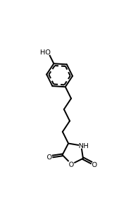 O=C1NC(CCCCc2ccc(O)cc2)C(=O)O1